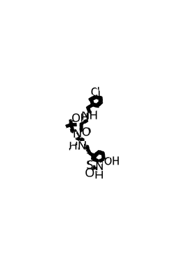 CC(C)(CO)CN(CCNCCc1ccc(O)c2[nH]c(=O)sc12)C(=O)CCNCCc1cccc(Cl)c1